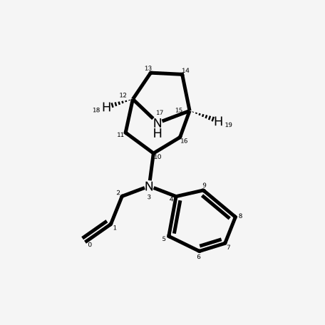 C=CCN(c1ccccc1)C1C[C@H]2CC[C@@H](C1)N2